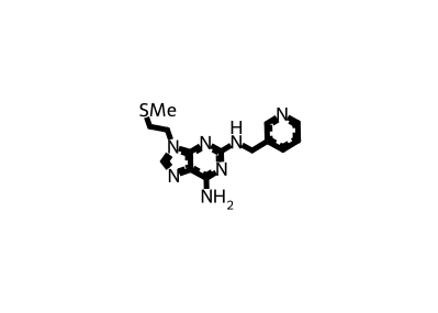 CSCCn1cnc2c(N)nc(NCc3cccnc3)nc21